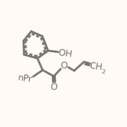 C=CCOC(=O)C(CCC)c1ccccc1O